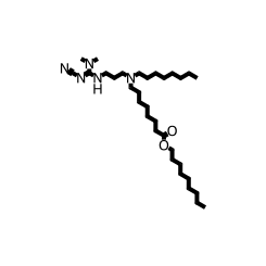 CCCCCCCCCOC(=O)CCCCCCCN(CCCCCCCC)CCCN/C(=N/C#N)N(C)C